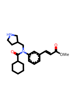 COC(=O)/C=C/c1cccc(N(CC2CCNC2)C(=O)C2CCCCC2)c1